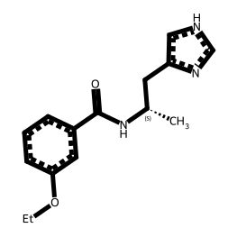 CCOc1cccc(C(=O)N[C@@H](C)Cc2c[nH]cn2)c1